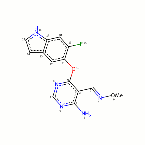 CON=Cc1c(N)ncnc1Oc1cc2cc[nH]c2cc1F